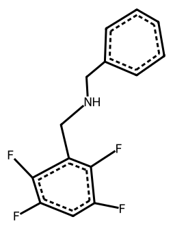 Fc1cc(F)c(F)c(CNCc2ccccc2)c1F